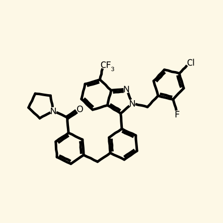 O=C(c1cccc(Cc2cccc(-c3c4cccc(C(F)(F)F)c4nn3Cc3ccc(Cl)cc3F)c2)c1)N1CCCC1